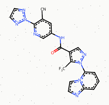 N#Cc1cc(NC(=O)c2cnn(-c3cccc4nccn34)c2C(F)(F)F)cnc1-n1nccn1